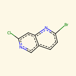 Clc1cc2nc(Br)ccc2cn1